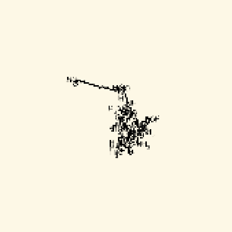 CCCC[C@@H](C(=O)N(C)[C@@H](CCCC)C(=O)N[C@@H](CC(C)C)C(=O)N[C@@H](CSCC(=O)N[C@@H](Cc1ccc(O)cc1)C(=O)N(C)CC(=O)N[C@@H](CC(N)=O)C(=O)N1CCCC1C(=O)N[C@@H](CN)C(=O)N[C@@H](CC(C)C)C(=O)N1CCCC1)C(=O)NCC(=O)NCCCC[C@H](NC(=O)CCCCCCCCCCCCCCCCC(=O)O)C(=O)O)N(C)C